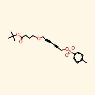 Cc1ccc(S(=O)(=O)OCC#CC#CCOCCCC(=O)OC(C)(C)C)cc1